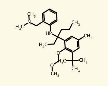 CCCC(CC)(Pc1ccccc1CN(C)C)c1cc(C)cc(C(C)(C)C)c1OCOC